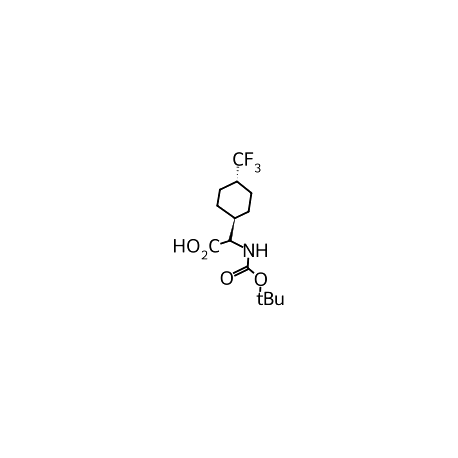 CC(C)(C)OC(=O)NC(C(=O)O)[C@H]1CC[C@H](C(F)(F)F)CC1